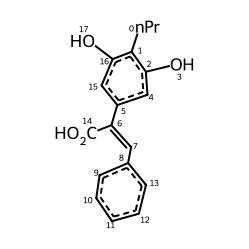 CCCc1c(O)cc(C(=Cc2ccccc2)C(=O)O)cc1O